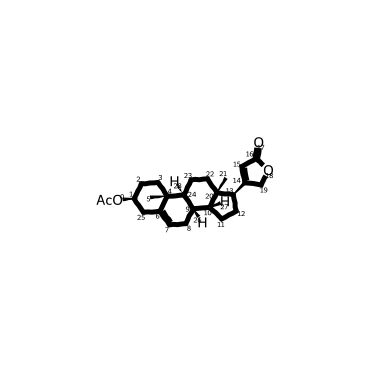 CC(=O)O[C@H]1CC[C@@]2(C)C(=CC[C@H]3[C@H]4CC[C@H](C5=CC(=O)OC5)[C@@]4(C)CC[C@@H]32)C1